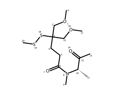 COCC(CCC(=O)N(C)[C@@H](C)C(C)=O)(COC)SSC